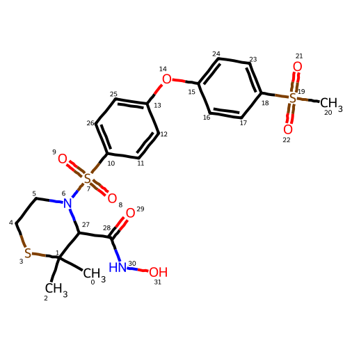 CC1(C)SCCN(S(=O)(=O)c2ccc(Oc3ccc(S(C)(=O)=O)cc3)cc2)C1C(=O)NO